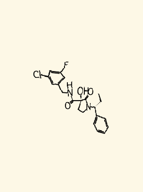 CC[C@H](c1ccccc1)N1CC[C@](O)(C(=O)NCc2cc(F)cc(Cl)c2)C1=O